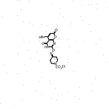 CCCCc1cc(=O)oc2nc(ON=C3CCN(C(=O)OCC)CC3)[nH]c(=O)c12